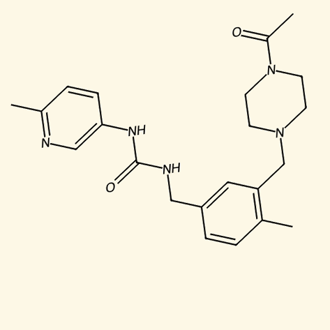 CC(=O)N1CCN(Cc2cc(CNC(=O)Nc3ccc(C)nc3)ccc2C)CC1